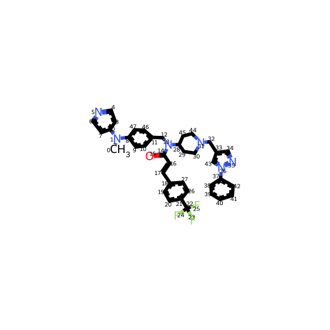 CN(c1ccncc1)c1ccc(CN(C(=O)C=Cc2ccc(C(F)(F)F)cc2)C2CCN(Cc3cnn(-c4ccccc4)c3)CC2)cc1